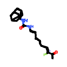 CC(=O)/C(F)=C/CCCCCNC(=O)NC12CC3CC(CC(C3)C1)C2